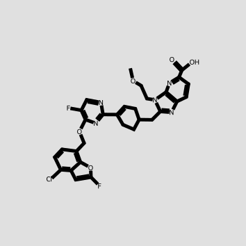 COCCn1c(CC2CC=C(c3ncc(F)c(OCc4ccc(Cl)c5cc(F)oc45)n3)CC2)nc2ccc(C(=O)O)nc21